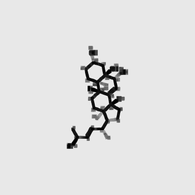 CC(C)[C@@H](C)C=C[C@@H](C)[C@H]1CC[C@H]2C3=C[C@@H](O)[C@@]4(O)C[C@@H](O)CC[C@]4(C)[C@H]3CC[C@]12C